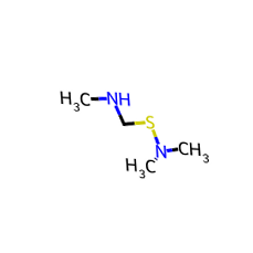 CNCSN(C)C